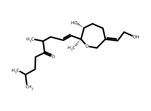 CC(C)CCC(=O)C(C)C/C=C/[C@]1(C)OC/C(=C/CO)CC[C@H]1O